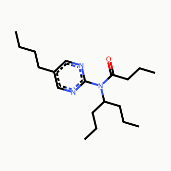 CCCCc1cnc(N(C(=O)CCC)C(CCC)CCC)nc1